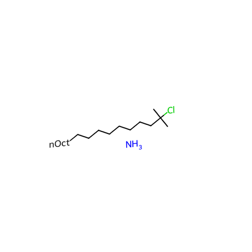 CCCCCCCCCCCCCCCCC(C)(C)Cl.N